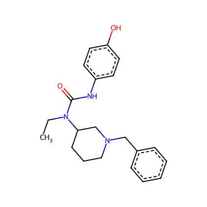 CCN(C(=O)Nc1ccc(O)cc1)C1CCCN(Cc2ccccc2)C1